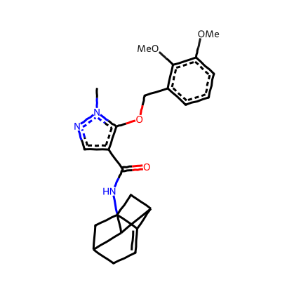 COc1cccc(COc2c(C(=O)NC3C4CC=C5C(C4)CC53)cnn2C)c1OC